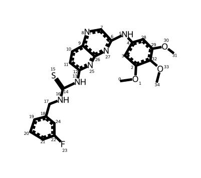 COc1cc(Nc2cnc3ccc(NC(=S)NCc4cccc(F)c4)nc3n2)cc(OC)c1OC